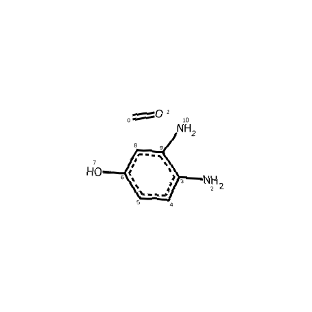 C=O.Nc1ccc(O)cc1N